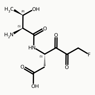 C[C@@H](O)[C@H](N)C(=O)N[C@@H](CC(=O)O)C(=O)C(=O)CF